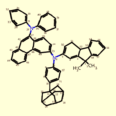 CC1(C)C2=CC(N(c3ccc(C45CC6CC(CC(C6)C4)C5)cc3)c3ccc4c(N(c5ccccc5)c5ccccc5)cc5ccccc5c4c3)=CCC2c2ccccc21